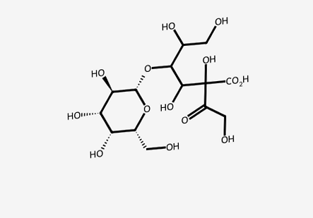 O=C(O)C(O)(C(=O)CO)C(O)C(O[C@@H]1O[C@H](CO)[C@H](O)[C@H](O)[C@H]1O)C(O)CO